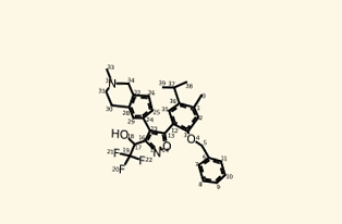 Cc1cc(OCc2ccccc2)c(-c2onc(C(O)C(F)(F)F)c2-c2ccc3c(c2)CCN(C)C3)cc1C(C)C